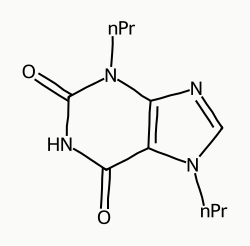 CCCn1cnc2c1c(=O)[nH]c(=O)n2CCC